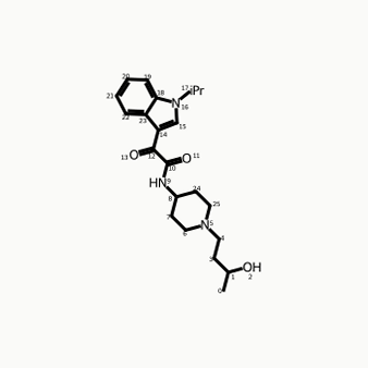 CC(O)CCN1CCC(NC(=O)C(=O)c2cn(C(C)C)c3ccccc23)CC1